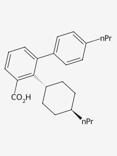 CCCc1ccc(-c2cccc(C(=O)O)c2[C@H]2CC[C@H](CCC)CC2)cc1